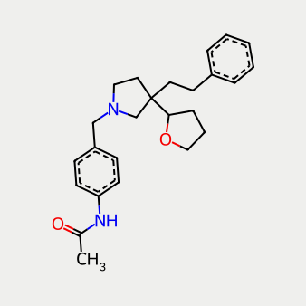 CC(=O)Nc1ccc(CN2CCC(CCc3ccccc3)(C3CCCO3)C2)cc1